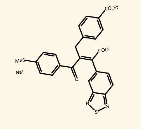 CCOC(=O)c1ccc(CC(C(=O)c2ccc(SC)cc2)=C(C(=O)[O-])c2ccc3nsnc3c2)cc1.[Na+]